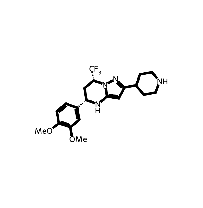 COc1ccc([C@@H]2C[C@H](C(F)(F)F)n3nc(C4CCNCC4)cc3N2)cc1OC